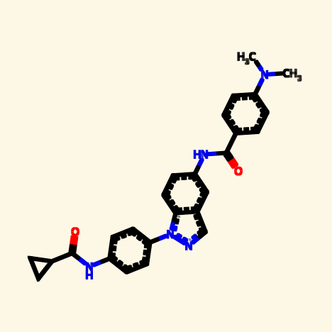 CN(C)c1ccc(C(=O)Nc2ccc3c(cnn3-c3ccc(NC(=O)C4CC4)cc3)c2)cc1